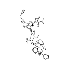 CC[C@H]1O[C@@H](n2cnc3c(OCCC#N)nc(NC(=O)C(C)C)nc32)[C@@H](OC)C1O[P@@]1O[C@H](C[Si](C)(c2ccccc2)c2ccccc2)[C@@H]2CCCN21